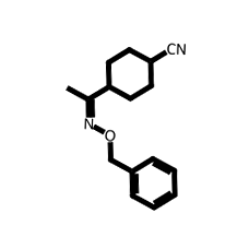 CC(=NOCc1ccccc1)C1CCC(C#N)CC1